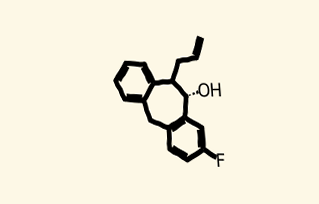 C=CCC1c2ccccc2Cc2ccc(F)cc2[C@H]1O